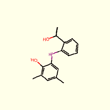 Cc1cc(C)c(O)c(Pc2ccccc2C(C)O)c1